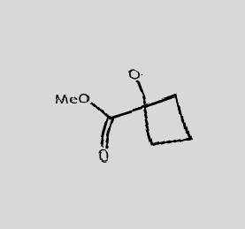 COC(=O)C1([O])CCC1